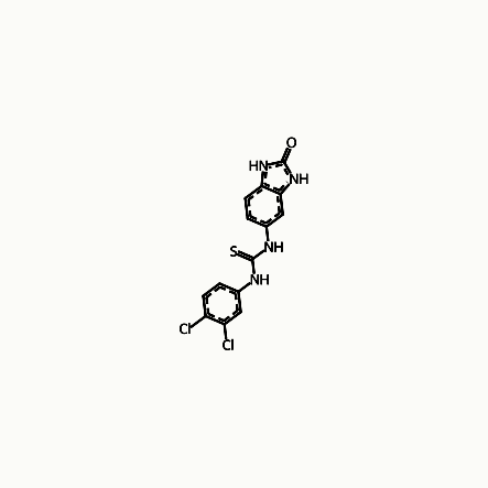 O=c1[nH]c2ccc(NC(=S)Nc3ccc(Cl)c(Cl)c3)cc2[nH]1